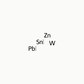 [Pb].[Sn].[W].[Zn]